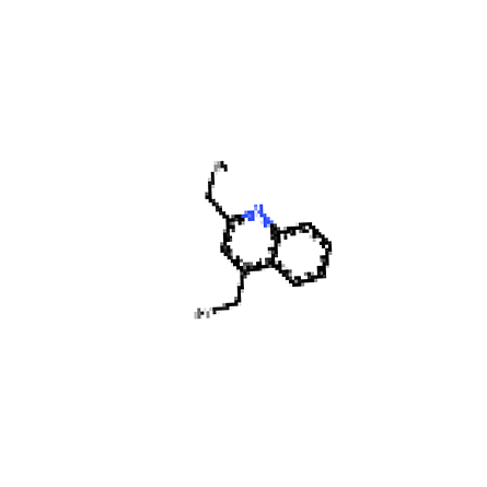 CC(C)Cc1cc(CC(C)C)c2ccccc2n1